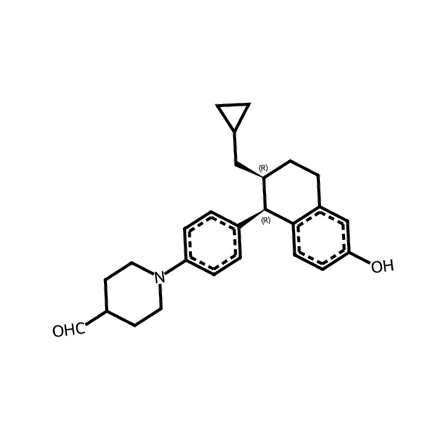 O=CC1CCN(c2ccc([C@@H]3c4ccc(O)cc4CC[C@@H]3CC3CC3)cc2)CC1